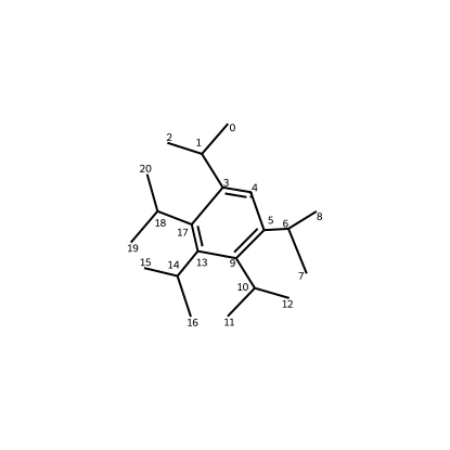 CC(C)c1[c]c(C(C)C)c(C(C)C)c(C(C)C)c1C(C)C